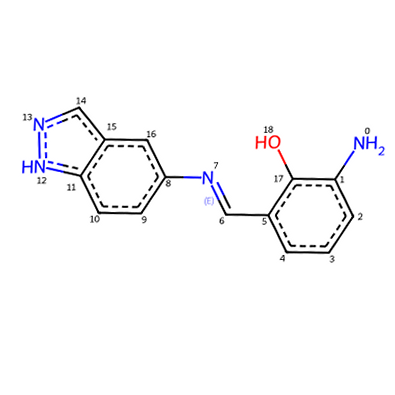 Nc1cccc(/C=N/c2ccc3[nH]ncc3c2)c1O